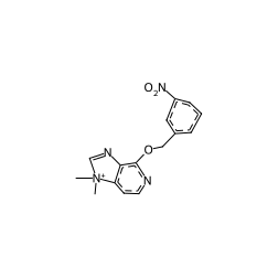 C[N+]1(C)C=Nc2c1ccnc2OCc1cccc([N+](=O)[O-])c1